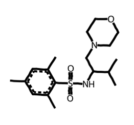 Cc1cc(C)c(S(=O)(=O)NC(CN2CCOCC2)C(C)C)c(C)c1